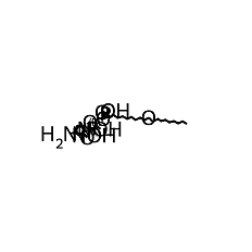 CCCCCCCCCOCCCCCCCCCP(=O)(O)OC[C@H]1O[C@@H](n2ccc(N)nc2=O)[C@H](O)C1O